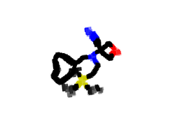 CS(C)(C)CN(Cc1ccccc1)C1(C#N)COC1